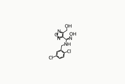 OCc1nonc1/C(=N\O)NCc1cc(Cl)ccc1Cl